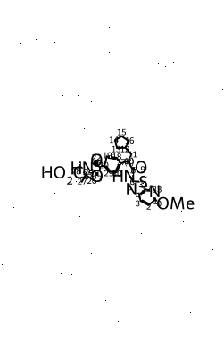 COc1ccc2nc(NC(=O)[C@H](CC3CCCC3)c3ccc(S(=O)(=O)NC(C)(C)C(=O)O)cc3)sc2n1